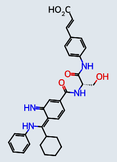 N=C1C=C(C(=O)N[C@@H](CO)C(=O)Nc2ccc(/C=C/C(=O)O)cc2)C=C/C1=C(/Nc1ccccc1)C1CCCCC1